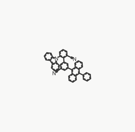 N#Cc1cc(-c2c(C#N)cccc2-n2c3ccccc3c3ccccc32)cc(-c2c3ccccc3c(-c3ccccc3)c3ccccc23)c1